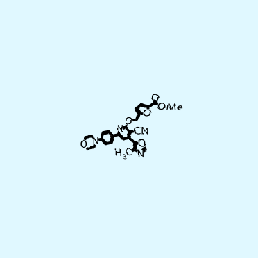 COC(=O)c1ccc(COc2nc(-c3ccc(N4CCOCC4)cc3)cc(-c3ocnc3C)c2C#N)o1